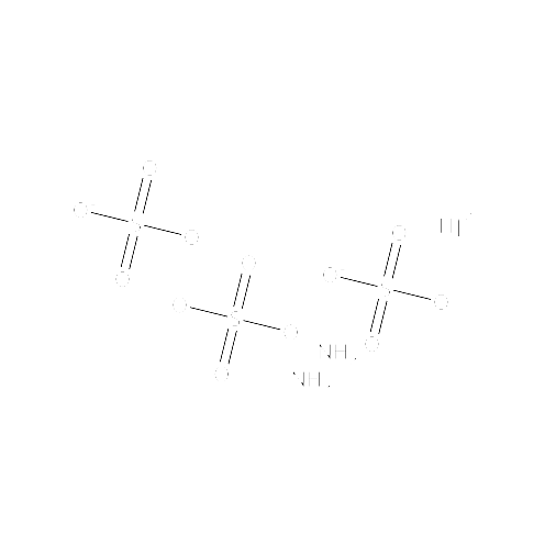 O=S(=O)([O-])[O-].O=S(=O)([O-])[O-].O=S(=O)([O-])[O-].[Hf+4].[NH4+].[NH4+]